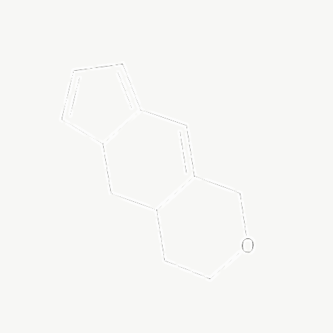 C1=CC2CC3CCOCC3=CC2=C1